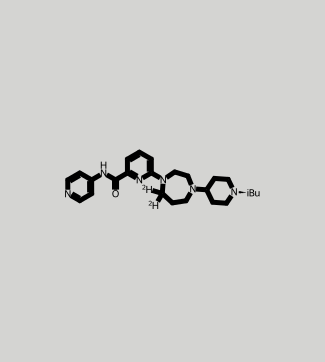 [2H]C1([2H])CCN(C2CCN([C@@H](C)CC)CC2)CCN1c1cccc(C(=O)Nc2ccncc2)n1